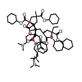 CCC(C)(CC(C)(CC(C)(CC(C)(CC(C)(CC(C)(CC(C)(CC(C)(C)C(=O)OCCN(C)C)C(=O)OCCN(C)C)C(=O)OCCN(C)C)C(=O)OC1CCCCC1)C(=O)OC1CCCCC1)C(=O)OC1CCCCC1)C(=O)OC1CCCCC1)C(=O)OC1CCCCC1